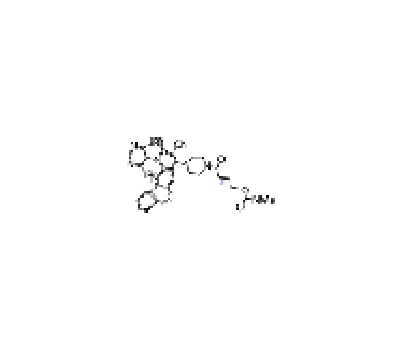 CNC(=O)OC/C=C/C(=O)N1CCN(c2c(C#N)c(=O)n(-c3c(C(C)C)ncnc3C(C)C)c3nc(-c4ccccc4F)c(Cl)cc23)CC1